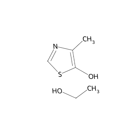 CCO.Cc1ncsc1O